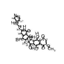 COC1=CC(=O)c2c(O)c3c(c(O)c2C1=O)C(=O)[C@]1(CCc2c1c(O)c1c(=O)[nH]c(C=NNn4cnnc4)cc1c2Br)C3=O